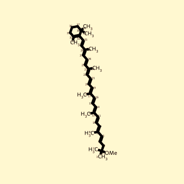 COC(C)(C)C/C=C/C(C)=C/C=C/C(C)=C/C=C/C(C)=C/C=C/C=C(C)/C=C/C=C(C)/C=C/C1=C(C)CCCC1(C)C